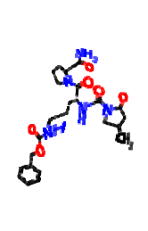 CC1CC(=O)N(C(=O)N[C@@H](CCCNC(=O)OCc2ccccc2)C(=O)N2CCC[C@H]2C(N)=O)C1